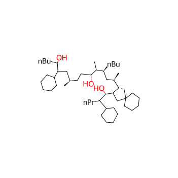 CCCCC(O)C(C[C@H](C)CCC(O)C(C)[C@@H](CCCC)C[C@@H](C)[C@@H]1CC2(CCCCC2)CC1C(O)C(CCC)C1CCCCC1)C1CCCCC1